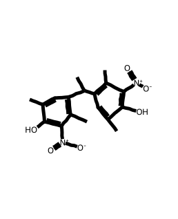 Cc1cc(C(C)c2cc(C)c(O)c([N+](=O)[O-])c2C)c(C)c([N+](=O)[O-])c1O